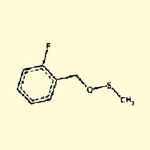 CSOCc1ccccc1F